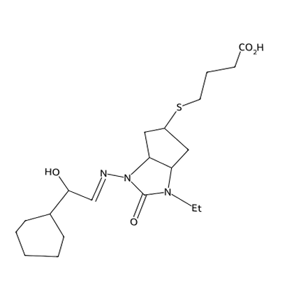 CCN1C(=O)N(/N=C/C(O)C2CCCCC2)C2CC(SCCCC(=O)O)CC21